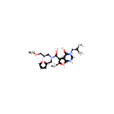 COCCCN(Cc1ccco1)C(=O)c1c(C)oc2ncn(CC(C)C)c(=O)c12